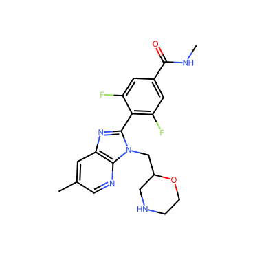 CNC(=O)c1cc(F)c(-c2nc3cc(C)cnc3n2CC2CNCCO2)c(F)c1